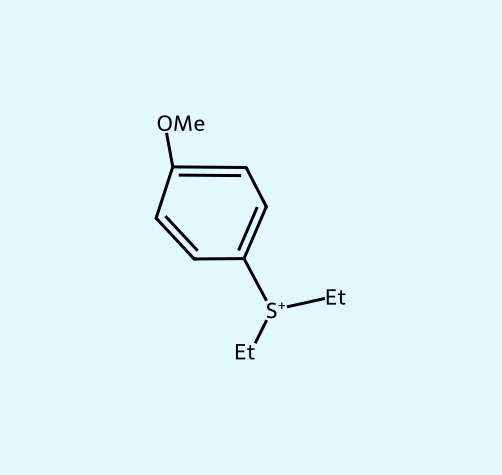 CC[S+](CC)c1ccc(OC)cc1